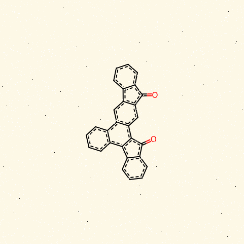 O=c1c2ccccc2c2cc3c4ccccc4c4c5ccccc5c(=O)c4c3cc12